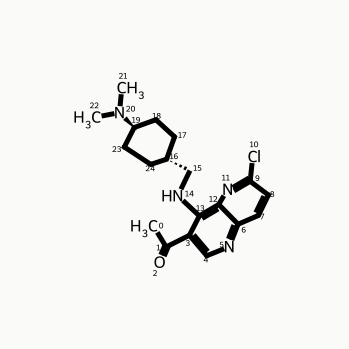 CC(=O)c1cnc2ccc(Cl)nc2c1NC[C@H]1CC[C@H](N(C)C)CC1